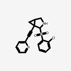 O=S(=O)(c1ccccc1Cl)C1NCC2CC21C#Cc1ccccn1